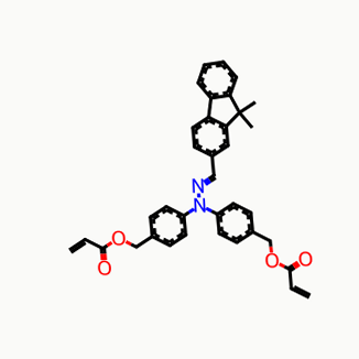 C=CC(=O)OCc1ccc(N(N=Cc2ccc3c(c2)C(C)(C)c2ccccc2-3)c2ccc(COC(=O)C=C)cc2)cc1